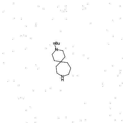 CCCCN1CCC2(CCCNCC2)CC1